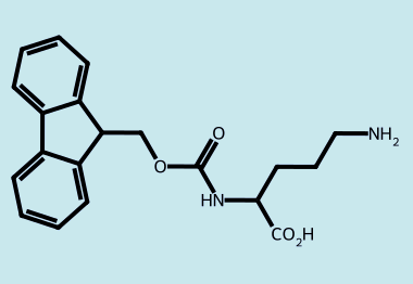 NCCCC(NC(=O)OCC1c2ccccc2-c2ccccc21)C(=O)O